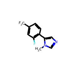 Cn1cncc1-c1ccc(C(F)(F)F)cc1F